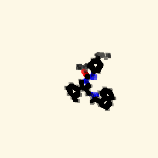 COc1cc(C(=O)O)ccc1NC(=O)N1C[C@@H](CN[C@H](C)c2cccc3ccccc23)[C@@H](c2cccc(C)c2)C1